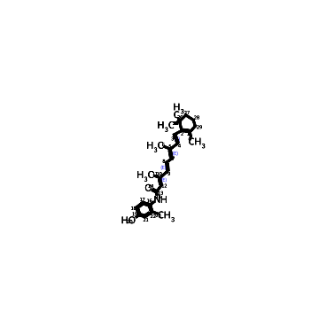 CC1=C(/C=C/C(C)=C/C=C/C(C)=C/C(=O)Nc2ccc(O)cc2C)C(C)(C)CCC1